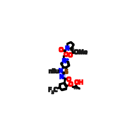 CCCCn1/c(=N/C(=O)c2cc(C(F)(F)F)ccc2OC[C@H](C)O)sc2cc[n+](COC(=O)N3CCC[C@H]3C(=O)OC)cc21